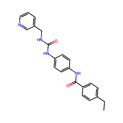 CCc1ccc(C(=O)Nc2ccc(NC(=O)NCc3cccnc3)cc2)cc1